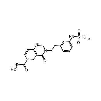 CS(=O)(=O)Nc1cccc(CCn2cnc3ccc(C(=O)NO)cc3c2=O)c1